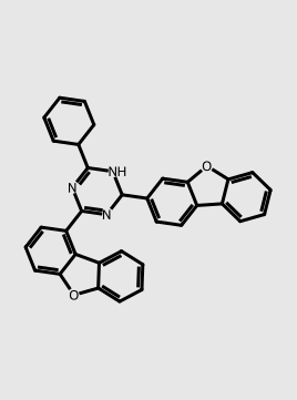 C1=CCC(C2=NC(c3cccc4oc5ccccc5c34)=NC(c3ccc4c(c3)oc3ccccc34)N2)C=C1